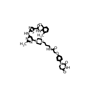 Cc1nc(Nc2ncc(C(=O)Nc3c(C)cccc3Cl)s2)cc(N2CCN(CCCNC(=O)COc3ccc(N4CCC(=O)NC4=O)cc3)CC2)n1